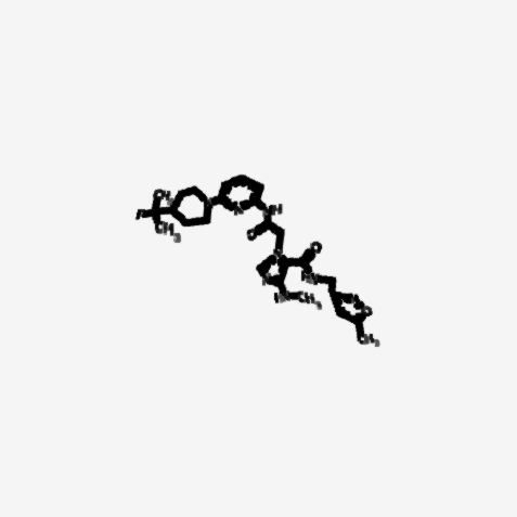 CNc1ncn(CC(=O)Nc2cccc(N3CCC(C(C)(C)F)CC3)n2)c1C(=O)NCc1cc(C)on1